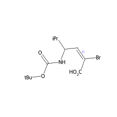 CC(C)C(/C=C(/Br)C(=O)O)NC(=O)OC(C)(C)C